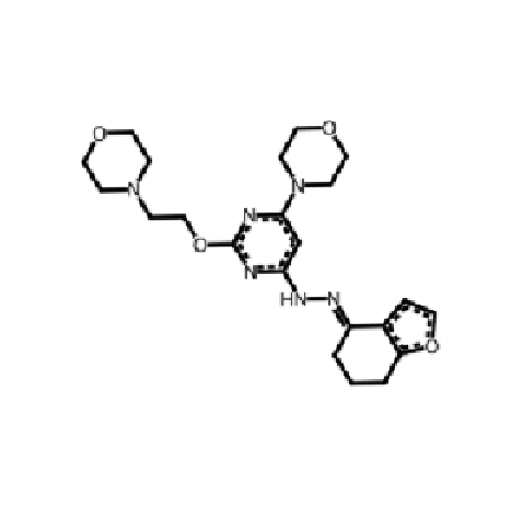 c1cc2c(o1)CCCC2=NNc1cc(N2CCOCC2)nc(OCCN2CCOCC2)n1